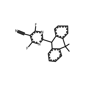 CC1(C)c2ccccc2C(c2nc(F)c(C#N)c(F)n2)c2ccccc21